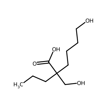 CCCC(CO)(CCCCO)C(=O)O